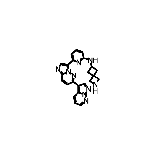 c1cc(NC2CC3(CNC3)C2)nc(-c2cnc3ccc(-c4cnn5ncccc45)nn23)c1